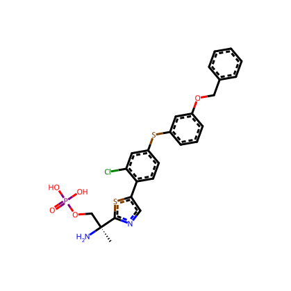 C[C@](N)(COP(=O)(O)O)c1ncc(-c2ccc(Sc3cccc(OCc4ccccc4)c3)cc2Cl)s1